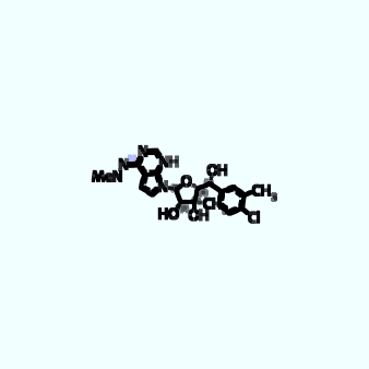 CN/N=c1/nc[nH]c2c1ccn2[C@@H]1O[C@H]([C@H](O)c2ccc(Cl)c(C)c2)[C@@](C)(O)[C@H]1O